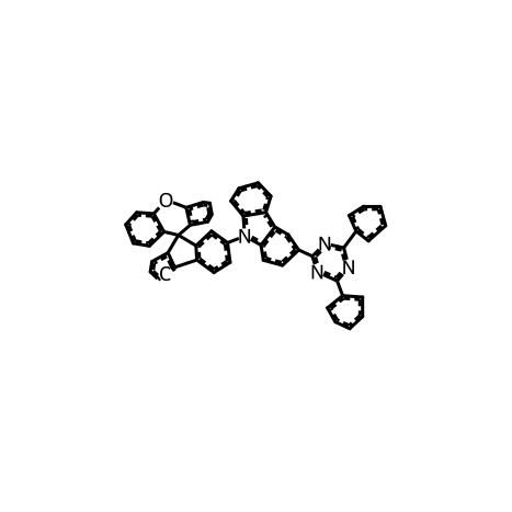 c1ccc(-c2nc(-c3ccccc3)nc(-c3ccc4c(c3)c3ccccc3n4-c3ccc4c(c3)C3(c5ccccc5Oc5ccccc53)c3ccccc3-4)n2)cc1